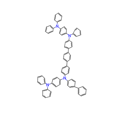 c1ccc(-c2ccc(N(c3ccc(-c4ccc(-c5ccc(N(c6ccccc6)c6ccc(N(c7ccccc7)c7ccccc7)cc6)cc5)cc4)cc3)c3ccc(N(c4ccccc4)c4ccccc4)cc3)cc2)cc1